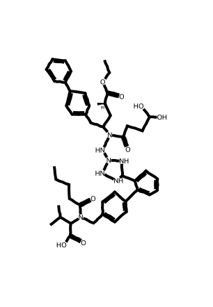 CCCCC(=O)N(Cc1ccc(-c2ccccc2C2NNN(NN(C(=O)CCC(O)O)C(Cc3ccc(-c4ccccc4)cc3)C[C@@H](C)C(=O)OCC)N2)cc1)C(C(=O)O)C(C)C